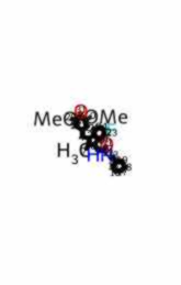 COC1=CC(=CC2=C(C)/C(=C/C(=O)NCc3ccccc3)c3cc(F)ccc32)C=C(OC)C1=O